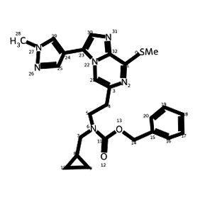 CSc1nc(CCN(CC2CC2)C(=O)OCc2ccccc2)cn2c(-c3cnn(C)c3)cnc12